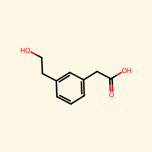 O=C(O)Cc1cccc(CCO)c1